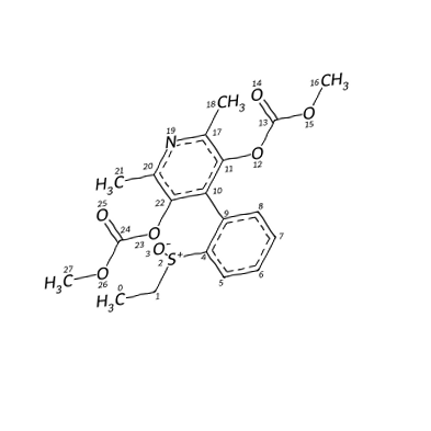 CC[S+]([O-])c1ccccc1-c1c(OC(=O)OC)c(C)nc(C)c1OC(=O)OC